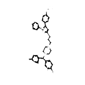 COc1ccc(-c2cc(CCCN3CCN(C(c4ccc(F)cc4)c4ccc(F)cc4)CC3)nn2-c2ccccc2)cc1